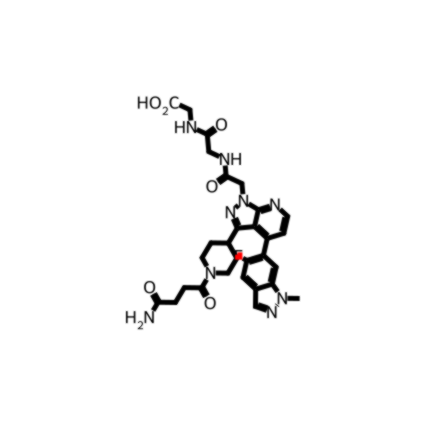 Cn1ncc2cc(F)c(-c3ccnc4c3c(C3CCN(C(=O)CCC(N)=O)CC3)nn4CC(=O)NCC(=O)NCC(=O)O)cc21